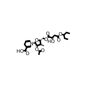 CCC(CC)OC(=O)C[C@H](O)C(=O)OC[C@H]1O[C@@H](N2C=CCC(C(=O)O)=C2)[C@H](OC(C)=O)[C@@H]1C